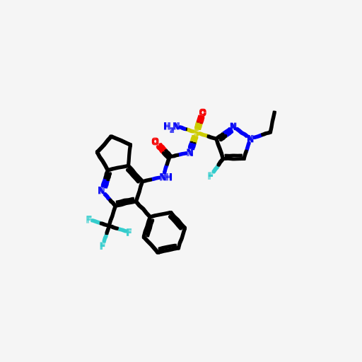 CCn1cc(F)c(S(N)(=O)=NC(=O)Nc2c3c(nc(C(F)(F)F)c2-c2ccccc2)CCC3)n1